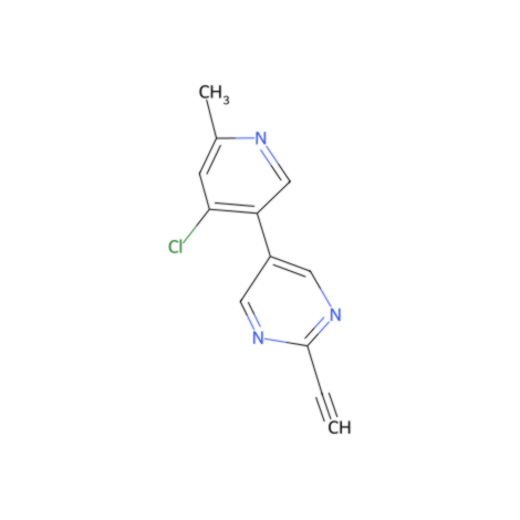 C#Cc1ncc(-c2cnc(C)cc2Cl)cn1